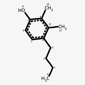 CCCCc1ccc(O)c(C)c1C